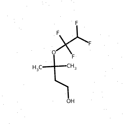 CC(C)(CCO)OC(F)(F)C(F)F